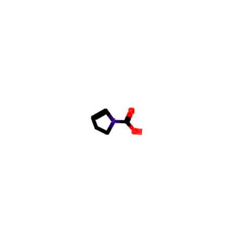 O=C(O)I1C=CCC1